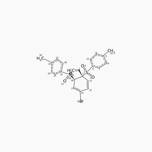 C=C[C@@]1(S(=O)(=O)c2ccc(C)cc2)C=CC(Br)=C[C@H]1S(=O)(=O)c1ccc(C)cc1